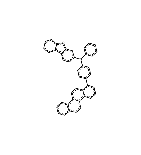 c1ccc(N(c2ccc(-c3cccc4c3ccc3c5ccccc5ccc43)cc2)c2ccc3c(c2)oc2ccccc23)cc1